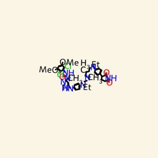 CCN(CCC(C)CN(C)CCN(CC)c1ccc(Nc2cc(N(C)C(=O)Nc3c(Cl)c(OC)cc(OC)c3Cl)ncn2)cc1)c1ccc(C2CCC(=O)NC2=O)cc1